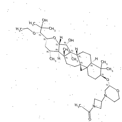 CCO[C@@H]([C@H]1C[C@@H](C)[C@H]2[C@H](O1)[C@H](O)[C@@]1(C)[C@@H]3CC[C@H]4C(C)(C)[C@@H](O[C@H]5CN(C6CN(C(C)=O)C6)CCO5)CCC45C[C@@]35CC[C@]21C)C(C)(C)O